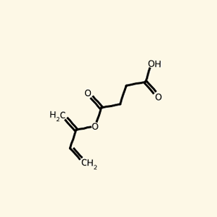 C=CC(=C)OC(=O)CCC(=O)O